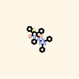 O=c1c2c(-c3ccccc3)c3sc4ccccc4c3c(=O)n2c2ccccc2n1-c1nc(-c2ccccc2)nc(-c2ccccc2)n1